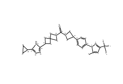 Cc1cc(C(F)(F)F)nn1-c1ccc(C2CN(C(=O)N3CC4(CC(c5nnc(C6CC6)[nH]5)C4)C3)C2)cc1